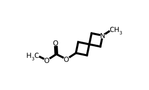 COC(=O)OC1CC2(C1)CN(C)C2